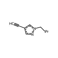 C#Cc1cnn(CC(C)C)c1